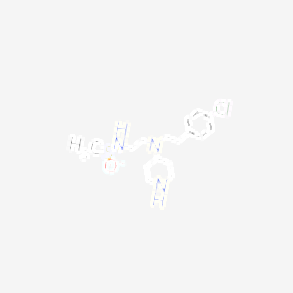 C[S+]([O-])NCCN(CCc1ccc(Cl)cc1)C1CCNCC1